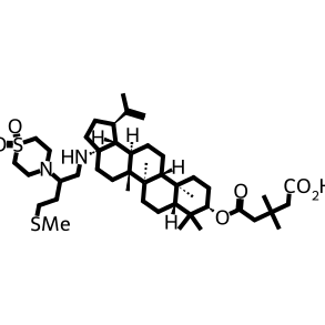 C=C(C)[C@@H]1CC[C@]2(NCC(CCSC)N3CCS(=O)(=O)CC3)CC[C@]3(C)[C@H](CC[C@@H]4[C@@]5(C)CC[C@H](OC(=O)CC(C)(C)CC(=O)O)C(C)(C)[C@@H]5CC[C@]43C)[C@@H]12